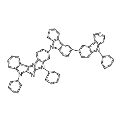 c1ccc(-n2c3ccccc3c3cc(-c4ccc5c(c4)c4ccccc4n5-c4ccc5c(c4)n(-c4ccccc4)c4nc6c(c7ccccc7n6-c6ccccc6)n54)ccc32)cc1